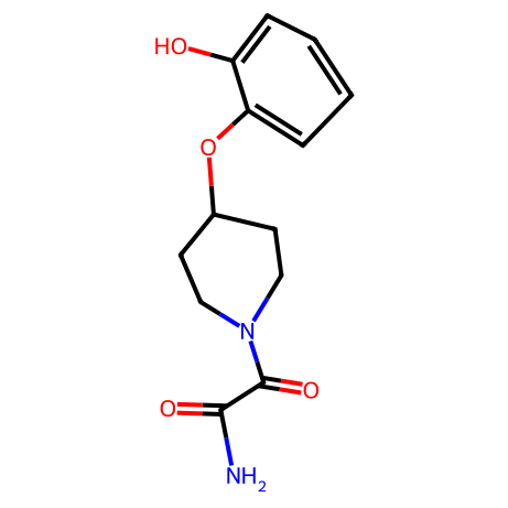 NC(=O)C(=O)N1CCC(Oc2ccccc2O)CC1